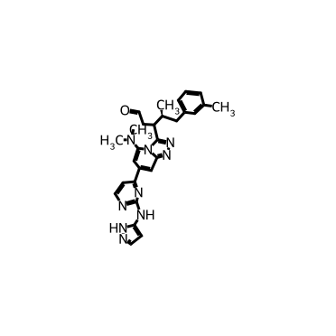 Cc1cccc(C[C@H](C)C(CC=O)c2nnc3cc(-c4ccnc(Nc5ccn[nH]5)n4)cc(N(C)C)n23)c1